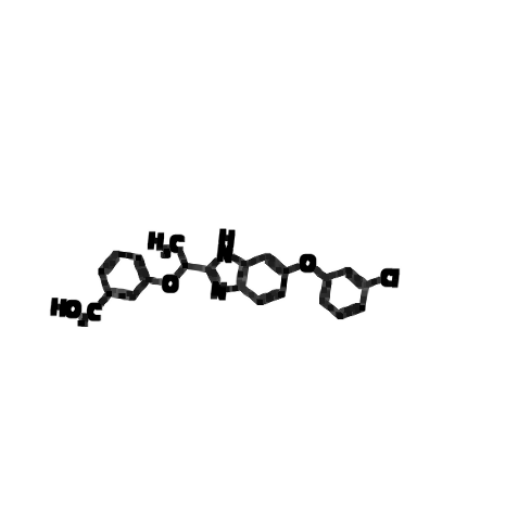 CC(Oc1cccc(C(=O)O)c1)c1nc2ccc(Oc3cccc(Cl)c3)cc2[nH]1